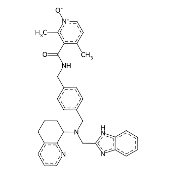 Cc1cc[n+]([O-])c(C)c1C(=O)NCc1ccc(CN(Cc2nc3ccccc3[nH]2)C2CCCc3cccnc32)cc1